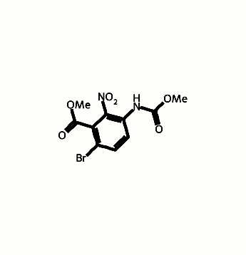 COC(=O)Nc1ccc(Br)c(C(=O)OC)c1[N+](=O)[O-]